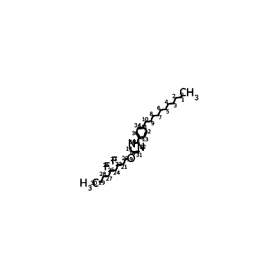 CCCCCCCCCCCc1ccc(-c2ncc(OCCC(F)CC(F)CCCC)cn2)cc1